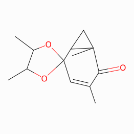 CC1=CC2(OC(C)C(C)O2)C2CC2(C)C1=O